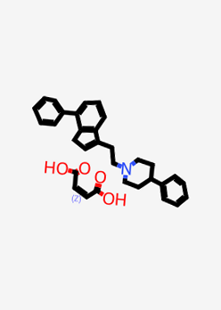 C1=C(CCN2CCC(c3ccccc3)CC2)c2cccc(-c3ccccc3)c2C1.O=C(O)/C=C\C(=O)O